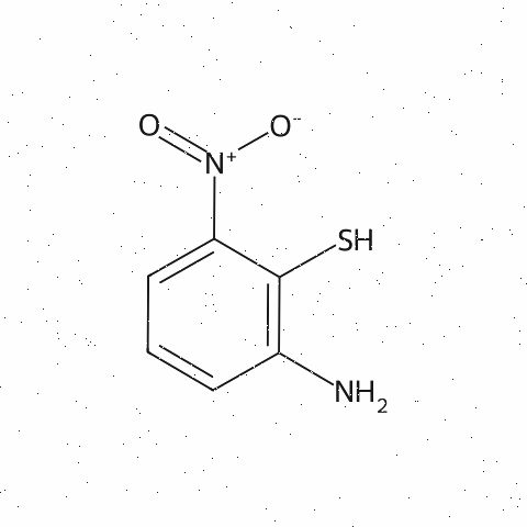 Nc1cccc([N+](=O)[O-])c1S